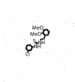 COc1cccc(CCNC(=S)Nc2cccc(Cl)c2)c1OC